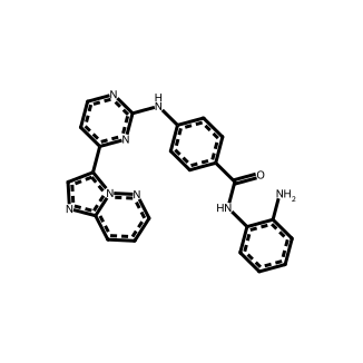 Nc1ccccc1NC(=O)c1ccc(Nc2nccc(-c3cnc4cccnn34)n2)cc1